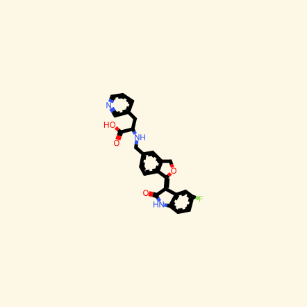 O=C1Nc2ccc(F)cc2C1=C1OCc2cc(CNC(Cc3cccnc3)C(=O)O)ccc21